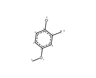 COc1ccc([O])c(F)c1